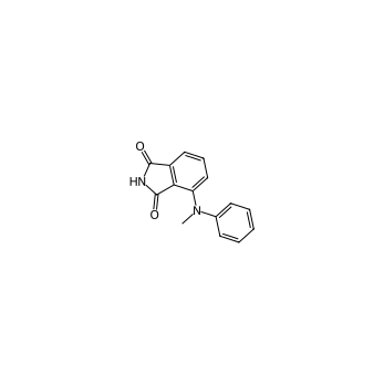 CN(c1ccccc1)c1cccc2c1C(=O)NC2=O